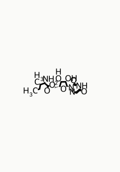 CC[C@H](C)[C@@H](N)C(=O)OC[C@H]1O[C@@H](n2ncc(=O)[nH]c2=O)[C@@H](O)[C@H]1O